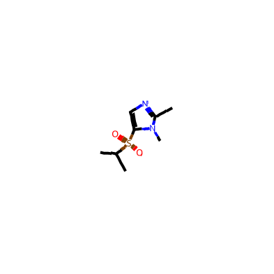 Cc1ncc(S(=O)(=O)C(C)C)n1C